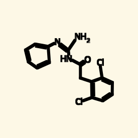 NC(=Nc1ccccc1)NC(=O)Cc1c(Cl)cccc1Cl